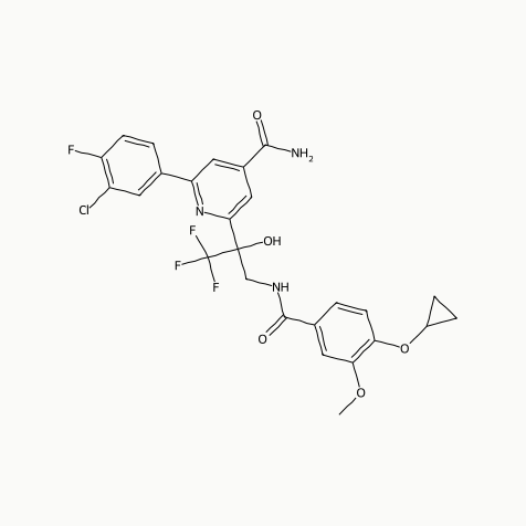 COc1cc(C(=O)NCC(O)(c2cc(C(N)=O)cc(-c3ccc(F)c(Cl)c3)n2)C(F)(F)F)ccc1OC1CC1